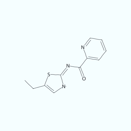 CCC1=C[N]C(=NC(=O)c2ccccn2)S1